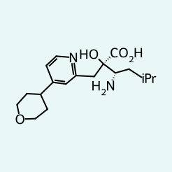 CC(C)C[C@H](N)[C@](O)(Cc1cc(C2CCOCC2)ccn1)C(=O)O